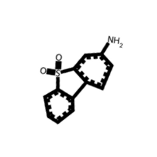 Nc1ccc2c(c1)S(=O)(=O)c1ccccc1-2